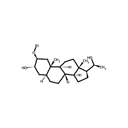 CCO[C@H]1C[C@@]2(C)[C@@H](CC[C@@H]3[C@@H]2CC[C@]2(C)[C@@H]([C@H](C)O)CC[C@@H]32)C[C@@H]1O